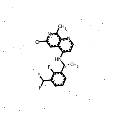 Cc1nc(Cl)cc2c(N[C@H](C)c3cccc(C(F)F)c3F)ccnc12